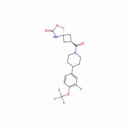 O=C1N[C@]2(CO1)C[C@H](C(=O)N1CCC(c3ccc(OC(F)(F)F)c(F)c3)CC1)C2